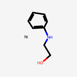 OCCNc1ccccc1.[Ni]